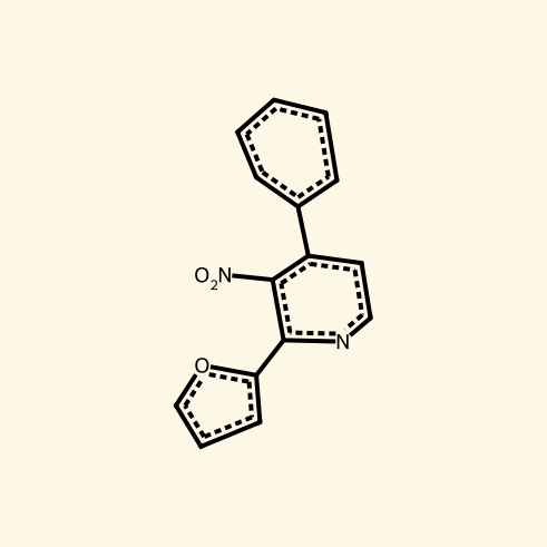 O=[N+]([O-])c1c(-c2ccccc2)ccnc1-c1ccco1